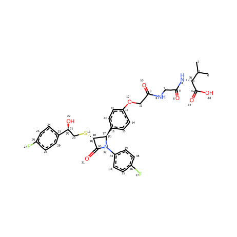 CC(C)[C@@H](NC(=O)CNC(=O)COc1ccc([C@@H]2[C@@H](SC[C@H](O)c3ccc(F)cc3)C(=O)N2c2ccc(F)cc2)cc1)C(=O)O